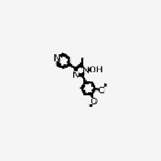 COc1ccc(-c2nc(-c3ccncc3)c(C)n2O)cc1OC